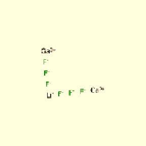 [Ca+2].[F-].[F-].[F-].[F-].[F-].[F-].[Ga+3].[Li+]